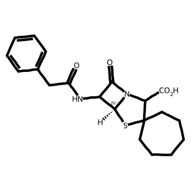 O=C(Cc1ccccc1)NC1C(=O)N2C(C(=O)O)C3(CCCCCC3)S[C@@H]12